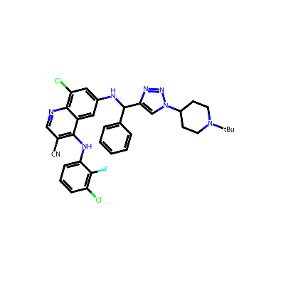 CC(C)(C)N1CCC(n2cc(C(Nc3cc(Cl)c4ncc(C#N)c(Nc5cccc(Cl)c5F)c4c3)c3ccccc3)nn2)CC1